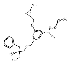 COOSN(C)c1cc(COCC(N)(CO)Cc2ccccc2)cc(OCC2CC2C)c1